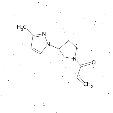 C=CC(=O)N1CCC(n2ccc(C)n2)C1